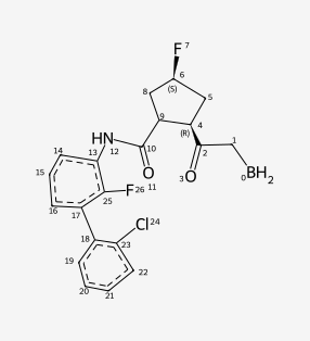 BCC(=O)[C@@H]1C[C@H](F)CC1C(=O)Nc1cccc(-c2ccccc2Cl)c1F